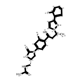 CC(=O)NC[C@H]1CN(c2ccc(C(=N)C[C@@H](C)n3ccc(-c4ccccc4F)n3)c(F)c2)C(=O)O1